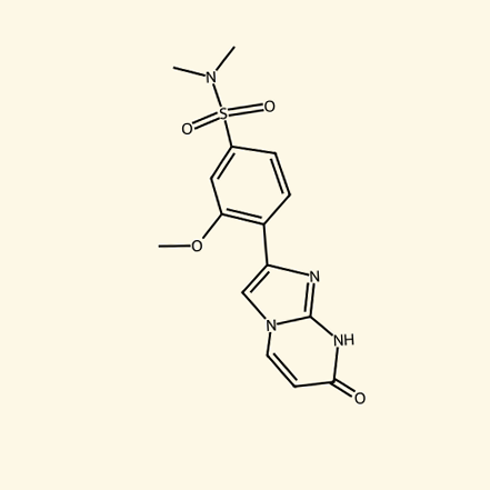 COc1cc(S(=O)(=O)N(C)C)ccc1-c1cn2ccc(=O)[nH]c2n1